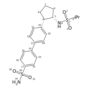 CC(C)S(=O)(=O)N[C@H]1CCC[C@H]1c1ccc(-c2ccc(S(N)(=O)=O)cc2)cc1